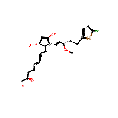 CO[C@H](C=C[C@@H]1[C@@H](CC=CCCCC(=O)CO)[C@@H](O)C[C@H]1O)CCc1ccc(Cl)s1